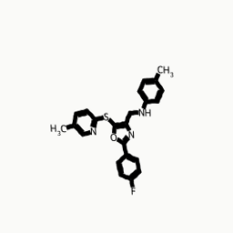 Cc1ccc(NCc2nc(-c3ccc(F)cc3)oc2Sc2ccc(C)cn2)cc1